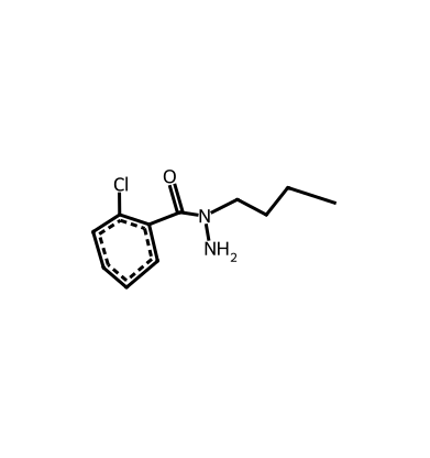 CCCCN(N)C(=O)c1ccccc1Cl